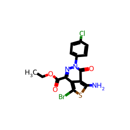 CCOC(=O)c1nn(-c2ccc(Cl)cc2)c(=O)c2c(N)sc(Br)c12